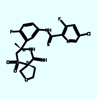 C[C@@]1(c2cc(NC(=S)c3ncc(Cl)cc3F)ccc2F)CS(=O)(=O)[C@@]2(CCOC2)C(=N)N1